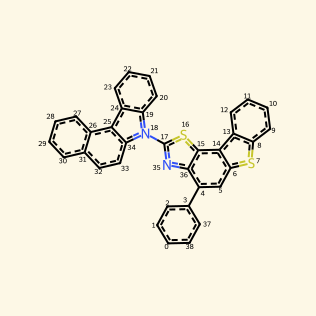 c1ccc(-c2cc3sc4ccccc4c3c3sc(-n4c5ccccc5c5c6ccccc6ccc54)nc23)cc1